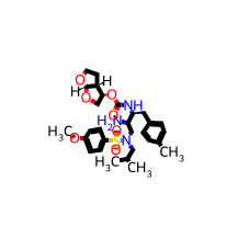 COc1ccc(S(=O)(=O)N(CC(C)C)CC(N)[C@H](Cc2ccc(C)cc2)NC(=O)O[C@H]2CO[C@H]3OCC[C@H]32)cc1